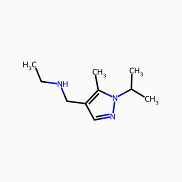 CCNCc1cnn(C(C)C)c1C